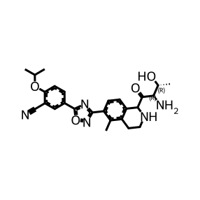 Cc1c(-c2noc(-c3ccc(OC(C)C)c(C#N)c3)n2)ccc2c1CCNC2C(=O)[C@H](N)[C@@H](C)O